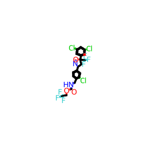 O=C(NCc1ccc(C2=NOC(c3cc(Cl)cc(Cl)c3)(C(F)(F)F)C2)cc1Cl)OCC(F)(F)F